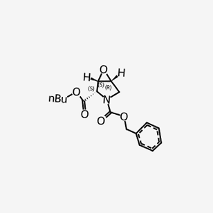 CCCCOC(=O)[C@@H]1[C@@H]2O[C@@H]2CN1C(=O)OCc1ccccc1